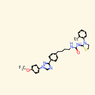 CCc1ccccc1N1CCS/C1=N\C(=O)NCCCCc1ccc(-c2ncn(-c3ccc(OC(F)(F)F)cc3)n2)cc1